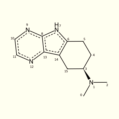 CN(C)[C@@H]1CCc2[nH]c3nccnc3c2C1